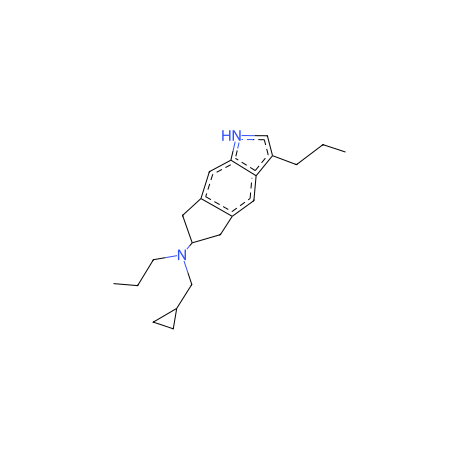 CCCc1c[nH]c2cc3c(cc12)CC(N(CCC)CC1CC1)C3